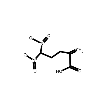 C=C(CCC([N+](=O)[O-])[N+](=O)[O-])C(=O)O